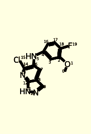 COc1cc(Nc2cc3cn[nH]c3nc2Cl)ccc1F